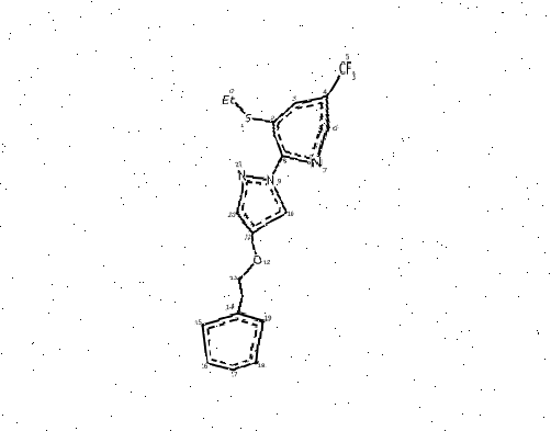 CCSc1cc(C(F)(F)F)cnc1-n1cc(OCc2ccccc2)cn1